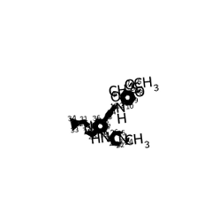 COc1cc(S(C)(=O)=O)ccc1NCC#Cc1cc(NC2CCN(C)CC2)c2ccn(CC3CC3)c2c1